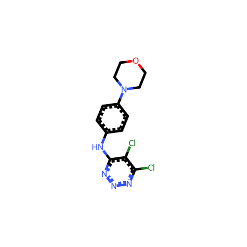 Clc1nnnc(Nc2ccc(N3CCOCC3)cc2)c1Cl